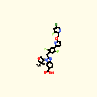 CC1(C)COC[C@H]1n1c(Cc2cc(F)c(-c3cccc(OCc4ncc(Cl)cc4F)n3)cc2F)nc2ccc(C(=O)O)cc21